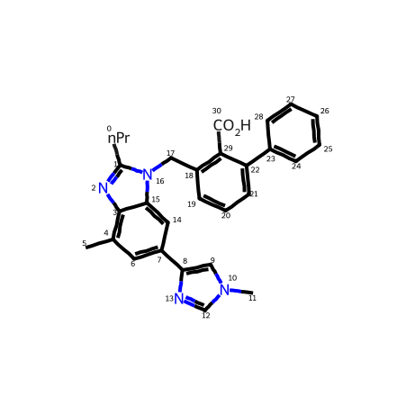 CCCc1nc2c(C)cc(-c3cn(C)cn3)cc2n1Cc1cccc(-c2ccccc2)c1C(=O)O